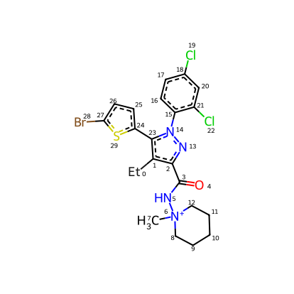 CCc1c(C(=O)N[N+]2(C)CCCCC2)nn(-c2ccc(Cl)cc2Cl)c1-c1ccc(Br)s1